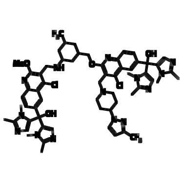 COc1nc2ccc(C(O)(c3cnc(C)n3C)c3cnc(C)n3C)cc2c(Cl)c1CNC1CC(COc2nc3ccc(C(O)(c4cnc(C)n4C)c4cnc(C)n4C)cc3c(Cl)c2CN2CCC(n3ccc(C(F)(F)F)n3)CC2)CC(C(F)(F)F)C1